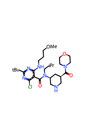 COCCCNc1nc(C(C)(C)C)nc(Cl)c1C(=O)N(CC(C)C)[C@@H]1CNC[C@H](C(=O)N2CCOCC2)C1